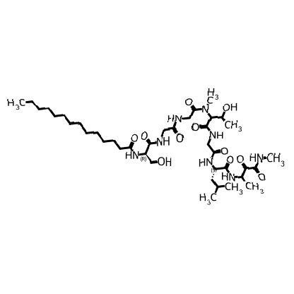 CCCCCCCCCCCCCC(=O)N[C@H](CO)C(=O)NCC(=O)NCC(=O)N(C)C(C(=O)NCC(=O)N[C@@H](CC(C)C)C(=O)NC(C)C(=O)C(=O)NC)C(C)O